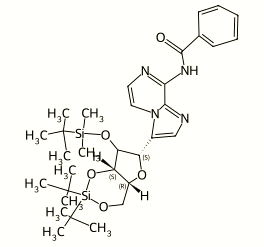 CC(C)(C)[Si](C)(C)OC1[C@H]2O[Si](C(C)(C)C)(C(C)(C)C)OC[C@H]2O[C@H]1c1cnc2c(NC(=O)c3ccccc3)nccn12